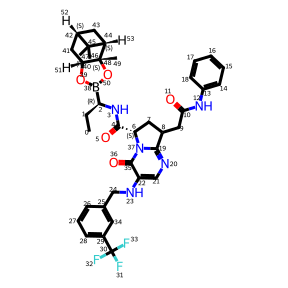 CC[C@H](NC(=O)[C@@H]1CC(CC(=O)Nc2ccccc2)c2ncc(NCc3cccc(C(F)(F)F)c3)c(=O)n21)B1O[C@@H]2C[C@@H]3C[C@@H](C3(C)C)[C@]2(C)O1